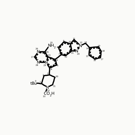 CC(C)(C)C1CC(c2cc(-c3ccc4cn(Cc5ccccc5)nc4c3)c3c(N)ncnn23)CCN1C(=O)O